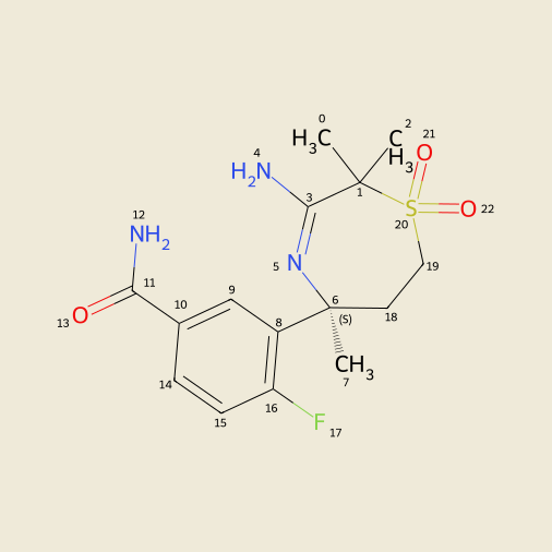 CC1(C)C(N)=N[C@](C)(c2cc(C(N)=O)ccc2F)CCS1(=O)=O